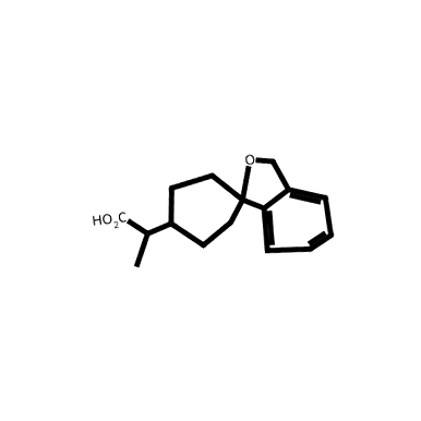 CC(C(=O)O)C1CCC2(CC1)OCc1ccccc12